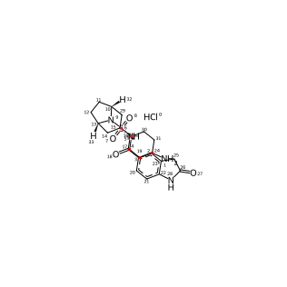 Cl.NC1CCN(S(=O)(=O)N2[C@@H]3CC[C@H]2C[C@@H](NC(=O)c2ccc4c(c2)CC(=O)N4)C3)CC1